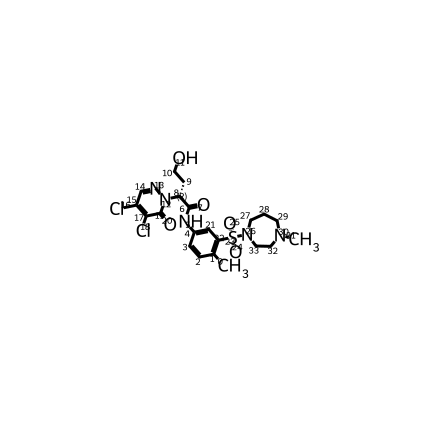 Cc1ccc(NC(=O)[C@@H](CCO)n2ncc(Cl)c(Cl)c2=O)cc1S(=O)(=O)N1CCCN(C)CC1